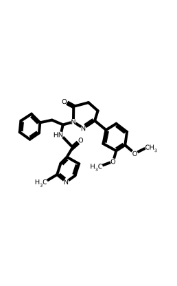 COc1ccc(C2=NN(C(Cc3ccccc3)NC(=O)c3ccnc(C)c3)C(=O)CC2)cc1OC